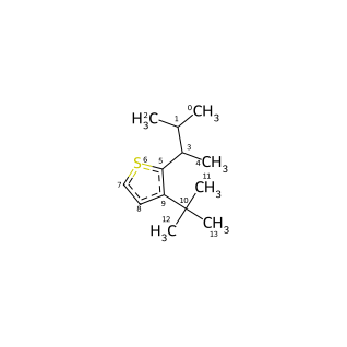 CC(C)C(C)c1sccc1C(C)(C)C